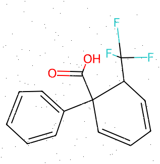 O=C(O)C1(c2ccccc2)C=CC=CC1C(F)(F)F